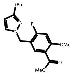 COC(=O)c1cc(Cn2ccc(C(C)(C)C)n2)c(F)cc1OC